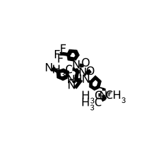 CC[N+](C)(C)C[C@H]1CC[C@@H](NC(=O)n2c(-c3ccnn3-c3ccc(C#N)cc3)c(C)n(-c3cccc(C(F)(F)F)c3)c2=O)CC1